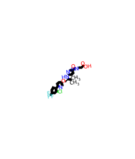 CC(C)[C@@H](COc1ccc(-c2ccc(C(F)(F)F)cc2Cl)nc1)Nc1ccc(C(=O)NCCC(=O)O)cn1